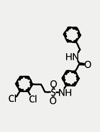 O=C(NCc1ccccc1)c1ccc(NS(=O)(=O)CCc2cccc(Cl)c2Cl)cc1